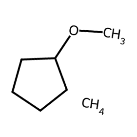 C.COC1CCCC1